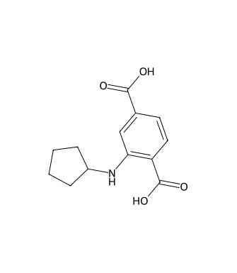 O=C(O)c1ccc(C(=O)O)c(NC2CCCC2)c1